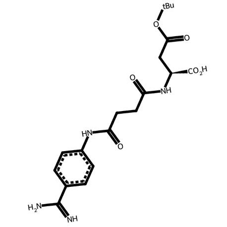 CC(C)(C)OC(=O)C[C@H](NC(=O)CCC(=O)Nc1ccc(C(=N)N)cc1)C(=O)O